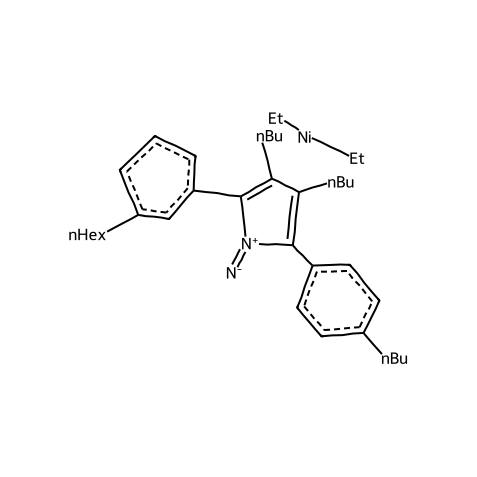 CCCCCCc1cccc(C2=C(CCCC)C(CCCC)=C(c3ccc(CCCC)cc3)[N+]2=[N-])c1.C[CH2][Ni][CH2]C